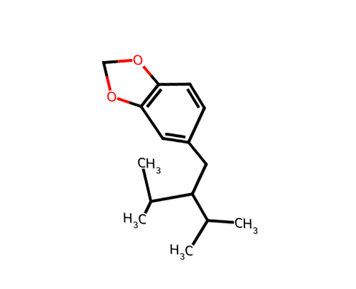 CC(C)C(Cc1ccc2c(c1)OCO2)C(C)C